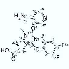 Cn1c(=O)n(Cc2ccc(F)c(F)c2)c(=O)c2cc(C(=O)O)sc21.NCc1ccncc1